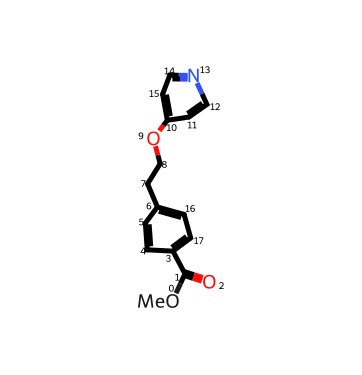 COC(=O)c1ccc(CCOc2ccncc2)cc1